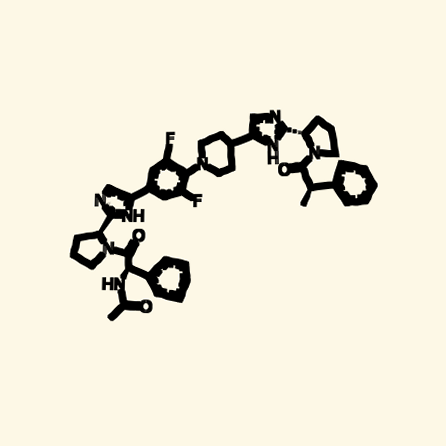 CC(=O)N[C@@H](C(=O)N1CCC[C@H]1c1ncc(-c2cc(F)c(N3CCC(c4cnc([C@@H]5CCCN5C(=O)[C@H](C)c5ccccc5)[nH]4)CC3)c(F)c2)[nH]1)c1ccccc1